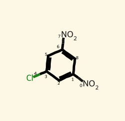 O=[N+]([O-])c1[c]c(Cl)cc([N+](=O)[O-])c1